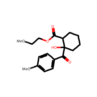 COCCOC(=O)C1CCCCC1(O)C(=O)c1ccc(OC)cc1